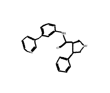 O=C(Nc1cccc(-c2cccnc2)c1)C1CNCC1c1ccccc1